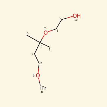 CC(C)OCCC(C)(C)OCCO